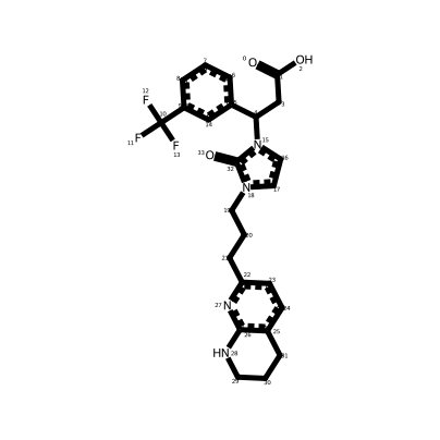 O=C(O)CC(c1cccc(C(F)(F)F)c1)n1ccn(CCCc2ccc3c(n2)NCCC3)c1=O